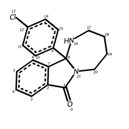 O=C1c2ccccc2C2(c3ccc(Cl)cc3)NCCCCN12